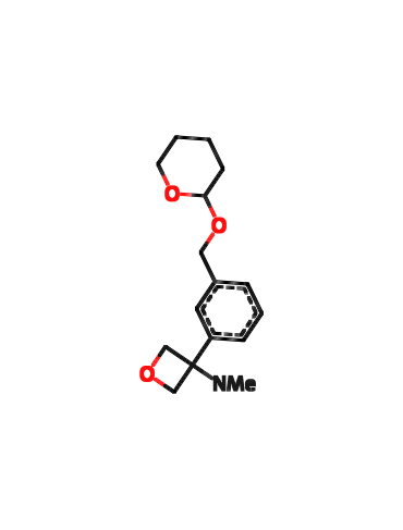 CNC1(c2cccc(COC3CCCCO3)c2)COC1